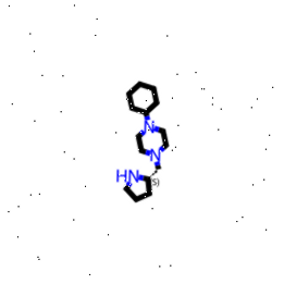 C1CCC(N2CCN(C[C@@H]3CCCN3)CC2)CC1